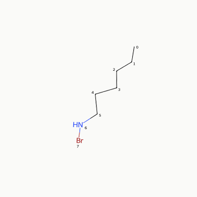 CCCCCCNBr